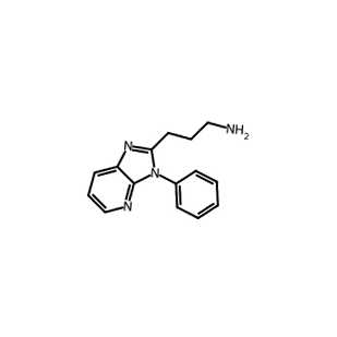 NCCCc1nc2cccnc2n1-c1ccccc1